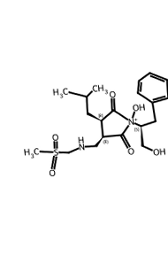 CC(C)C[C@H]1C(=O)[N+](O)([C@H](CO)Cc2ccccc2)C(=O)[C@H]1CNCS(C)(=O)=O